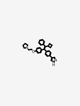 c1ccc(/C(=C(\c2ccc(OCCN3CCCC3)cc2)c2ccc(-c3cn[nH]c3)cc2)C2CCC2)cc1